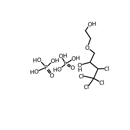 O=P(O)(O)O.O=P(O)(O)O.OCCOCC(O)C(Cl)C(Cl)(Cl)Cl